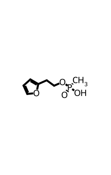 CP(=O)(O)OCCc1ccco1